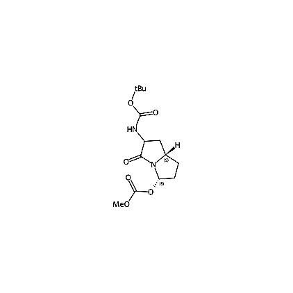 COC(=O)O[C@H]1CC[C@H]2CC(NC(=O)OC(C)(C)C)C(=O)N21